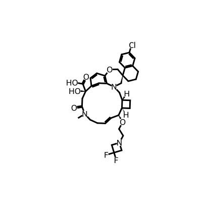 CN1CC/C=C/[C@H](OCCN2CC(F)(F)C2)[C@@H]2CC[C@H]2CN2C[C@@]3(CCCc4cc(Cl)ccc43)COc3ccc(cc32)[C@@](O)(C(=O)O)CC1=O